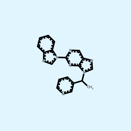 CC(c1cccnc1)n1cnc2cnc(-n3cnc4ccccc43)nc21